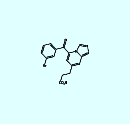 O=C(O)CCc1cc(C(=O)c2cccc(Br)c2)n2cccc2c1